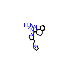 Nc1nc2c(c(N3CCCC(CCN4CCCC4)C3)n1)CCCc1ccccc1-2